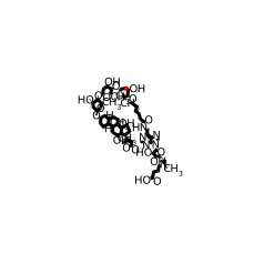 C[C@H]1OC(O[C@H]2[C@@H](O)CC(O[C@H]3[C@@H](O)C[C@H](O[C@@H]4CC[C@@]5(C)[C@H](CCC6[C@@H]5C[C@@H](O)[C@]5(C)[C@@H](C7=CC(=O)OC7)CC[C@]65O)C4)O[C@@H]3C)O[C@@H]2C)C[C@H](O)[C@@H]1OCCCCCC(=O)NCc1ncnc2c1ncn2[C@@H]1O[C@H](CN(C)CCCC(=O)O)[C@@H](O)[C@H]1O